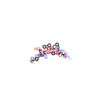 Cc1ncsc1-c1ccc(CNC(=O)[C@@H]2C[C@@H](O)CN2C(=O)[C@@H](NC(=O)CCc2ccc(CO[C@H](C)[C@H](CCC(N)=O)NC(=O)[C@@H]3Cc4cccc5c4N3C(=O)[C@@H](NC(=O)OCC3c4ccccc4-c4ccccc43)CC5)cc2)C(C)(C)C)cc1